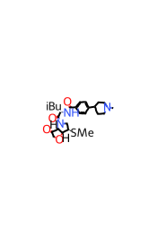 CC[C@H](C)[C@H](NC(=O)c1ccc(C2CCN(C)CC2)cc1)C(=O)N1C[C@H](SC)[C@H]2OCC(=O)[C@H]21